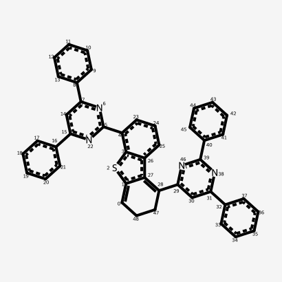 C1=c2sc3c(-c4nc(-c5ccccc5)cc(-c5ccccc5)n4)cccc3c2=C(c2cc(-c3ccccc3)nc(-c3ccccc3)n2)CC1